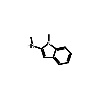 CNc1cc2ccccc2n1C